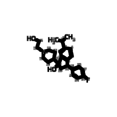 CC(C)c1ccc2c(c1)C(O)(C1CCN(CCO)CC1)CC2c1ccc(F)cc1